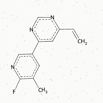 C=Cc1cc(-c2cnc(F)c(C)c2)ncn1